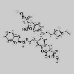 CCc1ccc(CCOc2ccc(CC(C)(C(=O)O)/C(C)=N/OC)cc2)nc1.CO/N=C(\C)C(Cc1ccc(OCCN(C)c2nc3ccccc3o2)cc1)C(=O)O